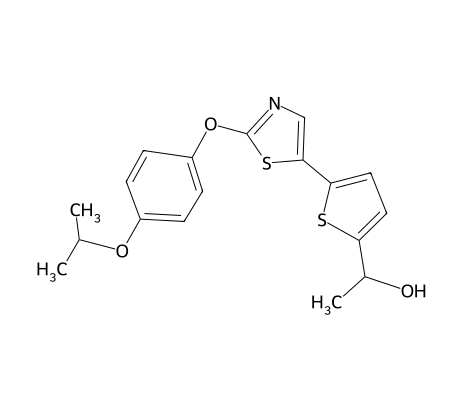 CC(C)Oc1ccc(Oc2ncc(-c3ccc(C(C)O)s3)s2)cc1